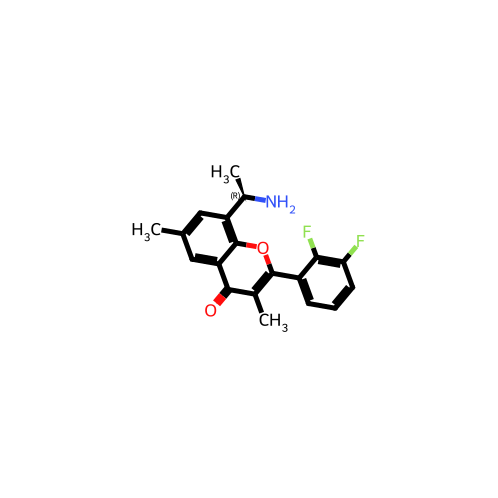 Cc1cc([C@@H](C)N)c2oc(-c3cccc(F)c3F)c(C)c(=O)c2c1